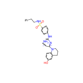 C=C(/N=C(\C=C/N)N1CCCc2cc(O)ccc21)Nc1ccc(S(=O)(=O)NCCC(C)C)cc1